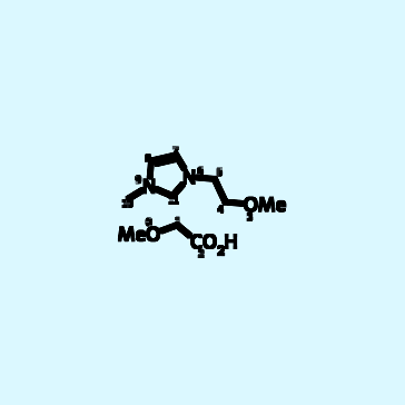 COCC(=O)O.COCCN1C=CN(C)C1